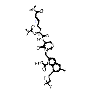 CN(C)C(=O)/C=C/CC[C@H](OC(=O)N(C)C)C(=O)Nc1cncn(Cc2cc3cc(F)cc(CCC(F)(F)F)c3n2C(=O)O)c1=O